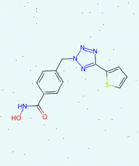 O=C(NO)c1ccc(Cn2nnc(-c3cccs3)n2)cc1